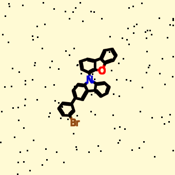 Brc1cccc(-c2ccc3c(c2)c2ccccc2n3-c2cccc3c2oc2ccccc23)c1